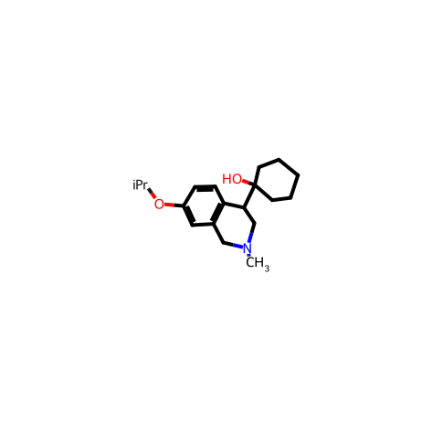 CC(C)Oc1ccc2c(c1)CN(C)CC2C1(O)CCCCC1